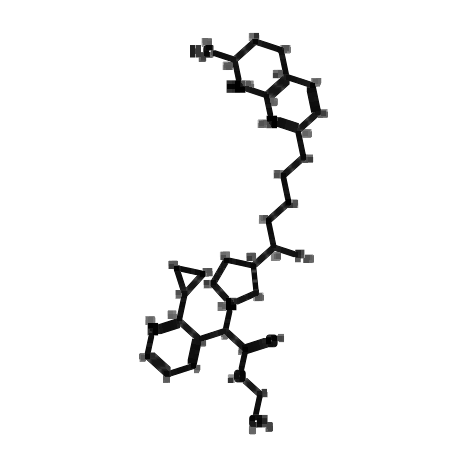 CCOC(=O)C(c1cccnc1C1CC1)N1CCC(C(F)CCCCc2ccc3c(n2)NC(C)CC3)C1